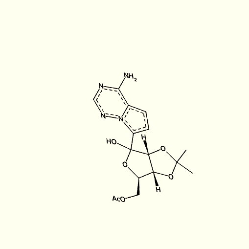 CC(=O)OC[C@H]1OC(O)(c2ccc3c(N)ncnn23)[C@@H]2OC(C)(C)O[C@@H]21